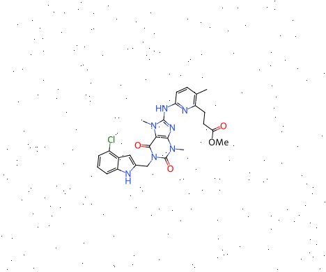 COC(=O)CCc1nc(Nc2nc3c(c(=O)n(Cc4cc5c(Cl)cccc5[nH]4)c(=O)n3C)n2C)ccc1C